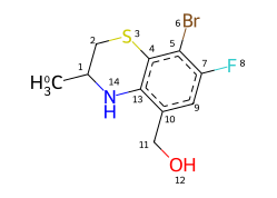 CC1CSc2c(Br)c(F)cc(CO)c2N1